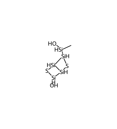 C[SiH](O)[SiH]1S[SiH]2[SiH](O)S[SiH]12